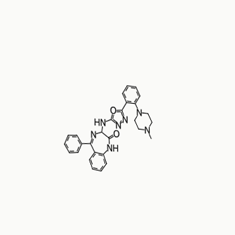 CN1CCN(c2ccccc2-c2nnc(NC3N=C(c4ccccc4)c4ccccc4NC3=O)o2)CC1